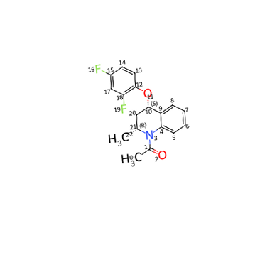 CC(=O)N1c2ccccc2[C@@H](Oc2ccc(F)cc2F)C[C@H]1C